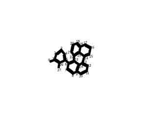 Cc1cccc(-c2ccc3cccc4c5cccc6cccc(c2c34)c65)c1C